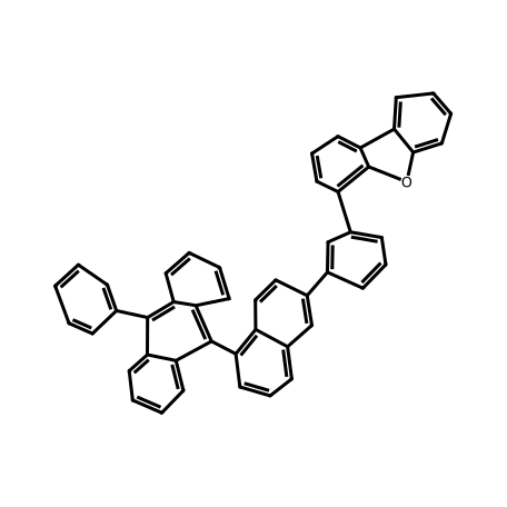 c1ccc(-c2c3ccccc3c(-c3cccc4cc(-c5cccc(-c6cccc7c6oc6ccccc67)c5)ccc34)c3ccccc23)cc1